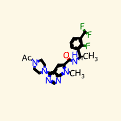 CC(=O)N1CCN(c2ncnc3c2cc(C(=O)N[C@H](C)c2cccc(C(F)F)c2F)n3C)CC1